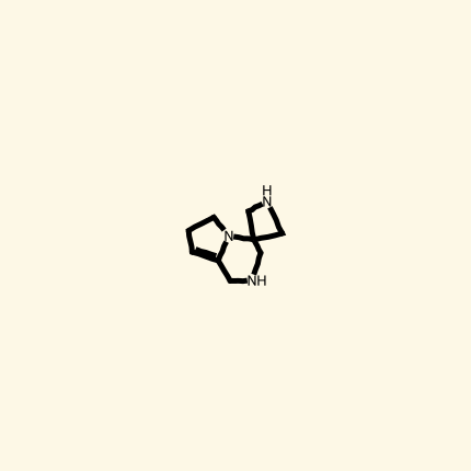 C1=C2CNCC3(CNC3)N2CC1